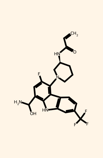 C=CC(=O)N[C@H]1CCCN(c2c(F)cc(C(N)O)c3[nH]c4cc(C(F)(F)F)ccc4c23)C1